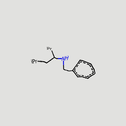 CC(C)CC(NCc1ccccc1)C(C)C